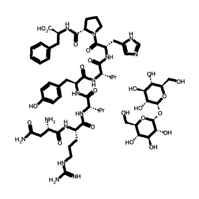 CC(C)[C@H](NC(=O)[C@H](CCCNC(=N)N)NC(=O)[C@@H](N)CC(N)=O)C(=O)N[C@@H](Cc1ccc(O)cc1)C(=O)N[C@H](C(=O)N[C@@H](Cc1cnc[nH]1)C(=O)N1CCC[C@H]1C(=O)N[C@@H](Cc1ccccc1)C(=O)O)C(C)C.OC[C@H]1O[C@H](O[C@H]2O[C@H](CO)[C@@H](O)[C@H](O)[C@H]2O)[C@H](O)[C@@H](O)[C@@H]1O